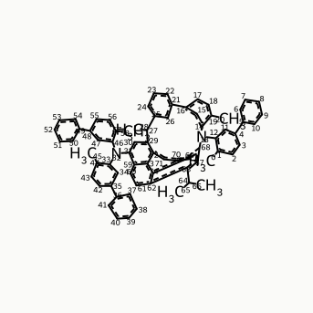 Cc1ccc(-c2ccccc2)cc1N1c2cc(ccc2C)-c2cccc(c2)C(C)c2cc(N(c3cc(-c4ccccc4)ccc3C)c3cc(-c4ccccc4)ccc3C)c3ccc4c(C(C)C)cc1c1ccc2c3c41